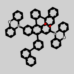 c1cc(-c2cccc3ccccc23)cc(-c2c3cc(N4c5ccccc5Oc5ccccc54)ccc3c(-c3ccccc3-c3cccc4ccccc34)c3cc(N4c5ccccc5Oc5ccccc54)ccc23)c1